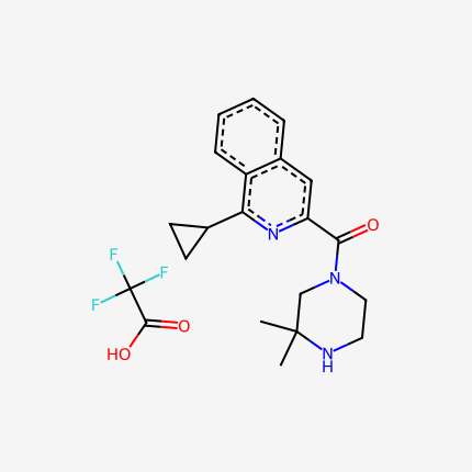 CC1(C)CN(C(=O)c2cc3ccccc3c(C3CC3)n2)CCN1.O=C(O)C(F)(F)F